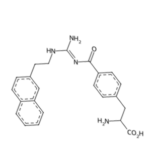 NC(=NC(=O)c1ccc(CC(N)C(=O)O)cc1)NCCc1ccc2ccccc2c1